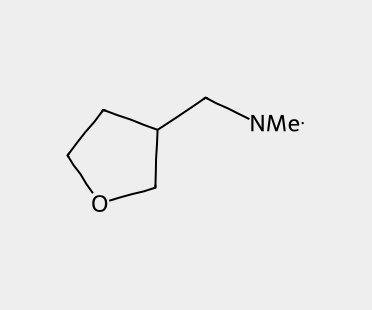 C[N]CC1CCOC1